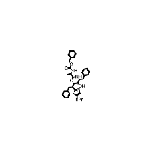 CCCc1cnc(C(Cc2ccccc2)C[C@H](O)[C@H](Cc2ccccc2)NC(=O)C(C)NC(=O)OCc2ccccc2)s1